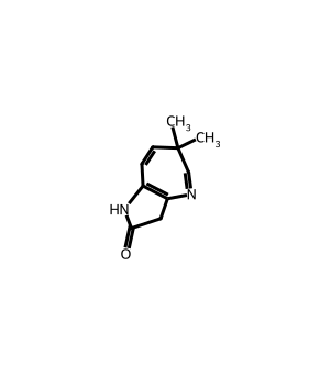 CC1(C)C=CC2=C(CC(=O)N2)N=C1